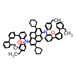 CCc1ccc(N(c2cccc(-c3cccc(-c4ccccc4CC)c3)c2O)c2cc(C3CCCCC3)c3ccc4c(N(c5ccc(CC)cc5)c5cccc6c5oc5c(-c7ccccc7CC)cccc56)cc(C5CCCCC5)c5ccc2c3c54)cc1